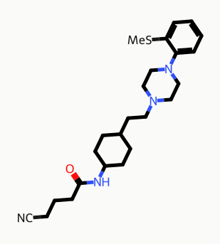 CSc1ccccc1N1CCN(CCC2CCC(NC(=O)CCCC#N)CC2)CC1